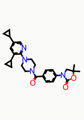 CC1(C)CN(c2ccc(C(=O)N3CCN(c4ncc(C5CC5)cc4C4CC4)CC3)cc2)C(=O)O1